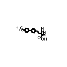 COc1ccc(-c2ccc(C=Cc3[nH]nnc3C(=O)O)cc2)cc1